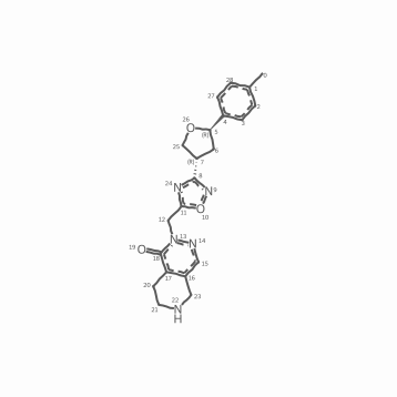 Cc1ccc([C@H]2C[C@H](c3noc(Cn4ncc5c(c4=O)CCNC5)n3)CO2)cc1